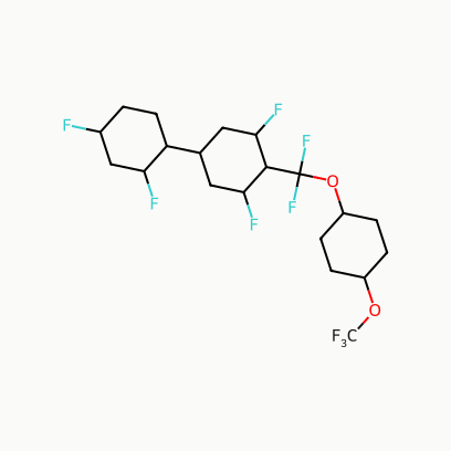 FC1CCC(C2CC(F)C(C(F)(F)OC3CCC(OC(F)(F)F)CC3)C(F)C2)C(F)C1